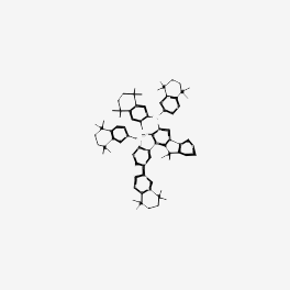 CC1(C)CCC(C)(C)c2cc(N3B4c5cc6c(cc5N(c5ccc7c(c5)C(C)(C)CCC7(C)C)c5cc7c(c(c54)-c4cc5c(cc43)oc3cc4c(cc35)C(C)(C)CCC4(C)C)C(C)(C)c3ccccc3-7)C(C)(C)CCC6(C)C)ccc21